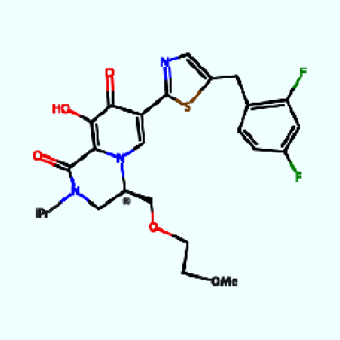 COCCOC[C@H]1CN(C(C)C)C(=O)c2c(O)c(=O)c(-c3ncc(Cc4ccc(F)cc4F)s3)cn21